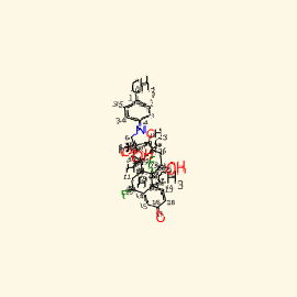 Cc1ccc(N2C[C@@H]3C[C@H]4[C@@H]5C[C@H](F)C6=CC(=O)C=C[C@]6(C)[C@@]5(F)[C@@H](O)C[C@]4(C)[C@]3(C(=O)O)O2)cc1